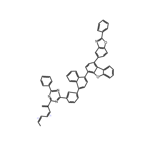 C=C(/C=C\C=C/C)c1nc(-c2ccccc2)nc(-c2cccc(-c3ccc(-c4ccc(-c5ccc6oc(-c7ccccc7)nc6c5)c5c4oc4ccccc45)c4ccccc34)c2)n1